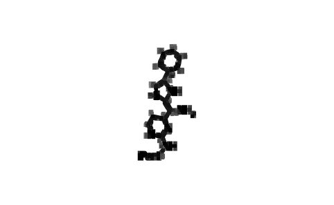 CCCC(C)Nc1nccc(/C(N)=C2/NC(c3ccccc3)=CS2)n1